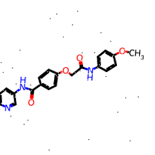 COc1ccc(NC(=O)COc2ccc(C(=O)Nc3cccnc3)cc2)cc1